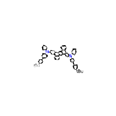 CC(C)(C)c1ccc(-c2ccc(N(c3ccccc3)c3ccc4c(c3)c3ccccc3c3cc5c6ccc(N(c7ccccc7)c7ccc(-c8ccc(C(C)(C)C)cc8)cc7)cc6c6ccccc6c5cc43)cc2)cc1